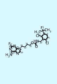 CC(C)(F)c1ccc(Cl)c(CNC(=O)OCCCCn2cnc3c(N)nc(F)nc32)c1Cl